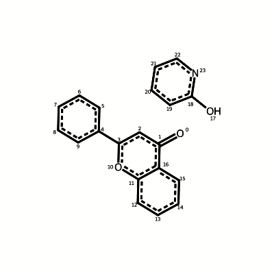 O=c1cc(-c2ccccc2)oc2ccccc12.Oc1ccccn1